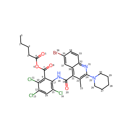 CCCCC(=O)OC(=O)c1c(Cl)c(Cl)cc(Cl)c1NC(=O)c1c(C)c(N2CCCCC2)nc2ccc(Br)cc12